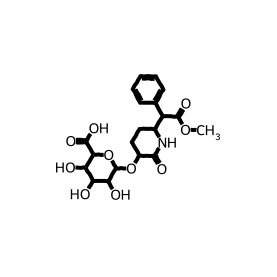 COC(=O)C(c1ccccc1)C1CCC(OC2OC(C(=O)O)C(O)C(O)C2O)C(=O)N1